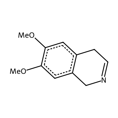 COc1cc2c(cc1OC)CN=CC2